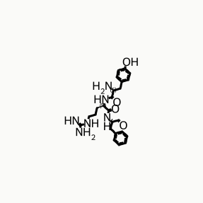 N=C(N)NCCC[C@@H](NC(=O)[C@@H](N)Cc1ccc(O)cc1)C(=O)N[C](C=O)Cc1ccccc1